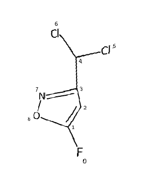 Fc1cc(C(Cl)Cl)no1